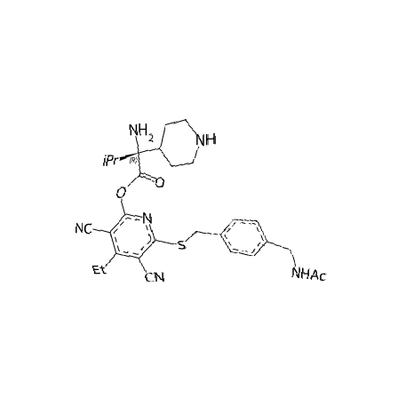 CCc1c(C#N)c(OC(=O)[C@@](N)(C(C)C)C2CCNCC2)nc(SCc2ccc(CNC(C)=O)cc2)c1C#N